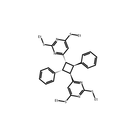 CCSc1cc([C@H]2[C@H](c3ccccc3)[C@H](c3cc(SCC)nc(SCC)n3)[C@H]2c2ccccc2)nc(SCC)n1